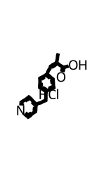 CC(=Cc1ccc(Cc2ccncc2)cc1)C(=O)O.Cl